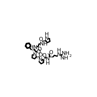 N=C(N)NCCC[C@@H]([C]=O)NC(=O)[C@@H]1CCCN1C(=O)[C@@H]1CCCN1C(=O)[C@H](Cc1ccccc1)NC(=O)CNC(=O)[C@@H]1CCCN1